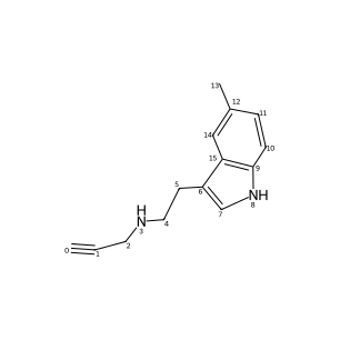 C#CCNCCc1c[nH]c2ccc(C)cc12